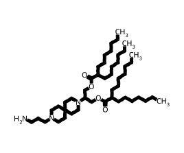 CCCCCCCC(CCCCCCC)C(=O)OCC(COC(=O)C(CCCCCCC)CCCCCCC)N1CCC2(CCN(CCCN)CC2)CC1